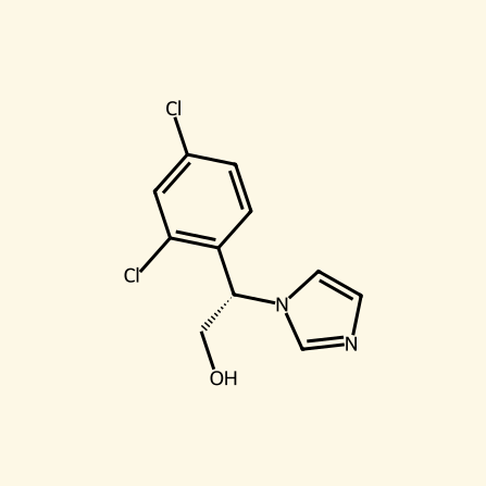 OC[C@H](c1ccc(Cl)cc1Cl)n1ccnc1